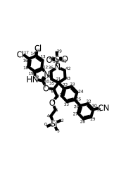 C[Si](C)(C)CCOCC(Oc1nc2cc(Cl)c(Cl)cc2[nH]1)C1(c2ccc(-c3cccc(C#N)c3)cc2)CCN(S(C)(=O)=O)CC1